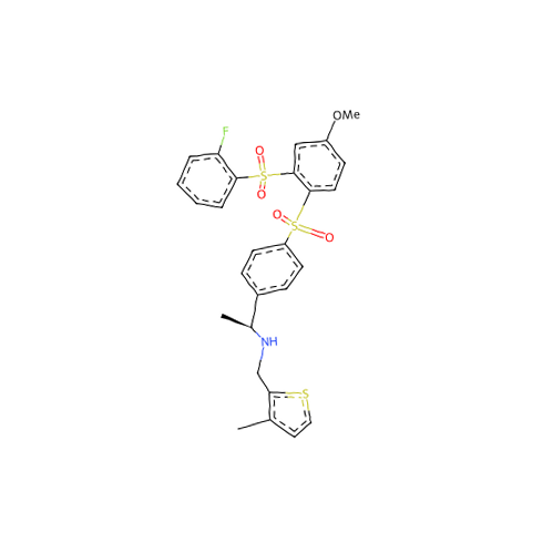 COc1ccc(S(=O)(=O)c2ccc([C@H](C)NCc3sccc3C)cc2)c(S(=O)(=O)c2ccccc2F)c1